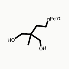 CCCCCCCC(C)(CO)CO